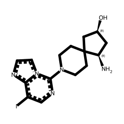 N[C@@H]1C[C@H](O)CC12CCN(c1ncc(I)c3nccn13)CC2